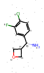 N[C@@H](c1ccc(Cl)c(F)c1)C1COC1